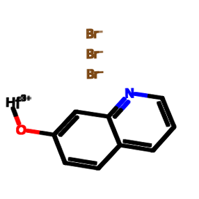 [Br-].[Br-].[Br-].[Hf+3][O]c1ccc2cccnc2c1